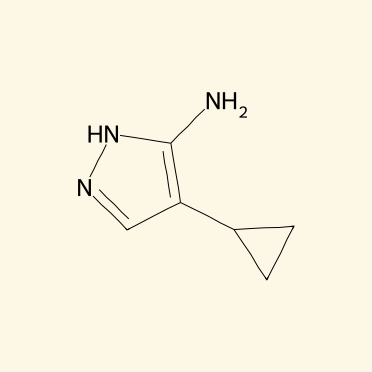 Nc1[nH]ncc1C1CC1